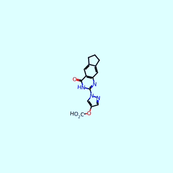 O=C(O)Oc1cnn(-c2nc3cc4c(cc3c(=O)[nH]2)CCC4)c1